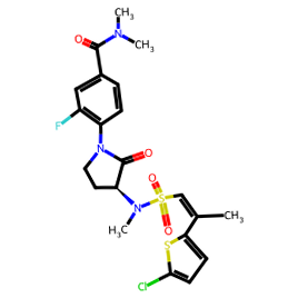 C/C(=C/S(=O)(=O)N(C)[C@H]1CCN(c2ccc(C(=O)N(C)C)cc2F)C1=O)c1ccc(Cl)s1